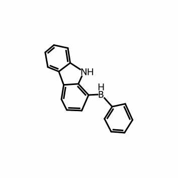 B(c1ccccc1)c1cccc2c1[nH]c1ccccc12